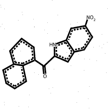 O=C(c1cc2ccc([N+](=O)[O-])cc2[nH]1)c1cccc2ccccc12